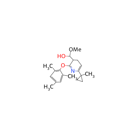 COC(O)C1CC=C(C2(C)CC2)N=C1Oc1c(C)cc(C)cc1C